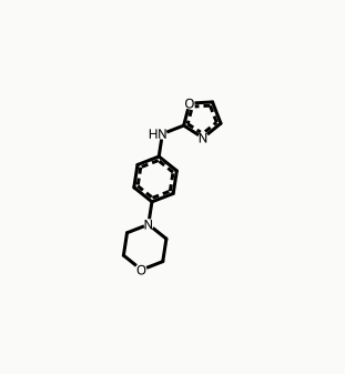 c1coc(Nc2ccc(N3CCOCC3)cc2)n1